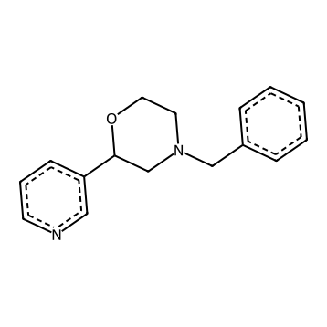 c1ccc(CN2CCOC(c3cccnc3)C2)cc1